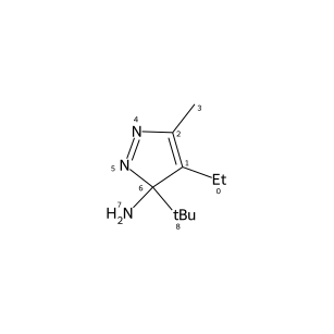 CCC1=C(C)N=NC1(N)C(C)(C)C